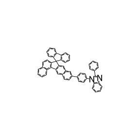 c1ccc(-c2nc3ccccc3n2-c2ccc(-c3ccc4cc5c(cc4c3)C3(c4ccccc4-c4ccccc43)c3ccc4ccccc4c3-5)cc2)cc1